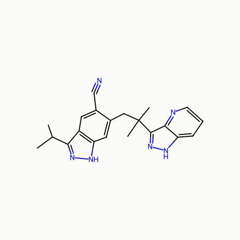 CC(C)c1n[nH]c2cc(CC(C)(C)c3n[nH]c4cccnc34)c(C#N)cc12